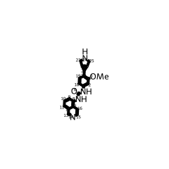 COc1cc(NC(=O)Nc2cccc3cnccc23)ccc1C1C2CNCC21